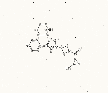 CCC1CC1C(=O)N1CC(c2nnc([C@H]3NCCC[C@H]3c3ccccc3)o2)C1